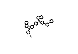 CC1C=CC(n2c3ccc(-c4ccc(N(c5ccc(-c6cccc(-c7ccccc7)c6)cc5)c5cccc6ccccc56)cc4)cc3c3c4ccccc4ccc32)=CC1